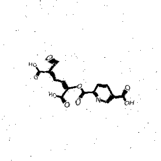 O=C/C(=C\C=C(\OC(=O)c1ccc(C(=O)O)cn1)C(=O)O)C(=O)O